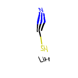 N#CS.[LiH]